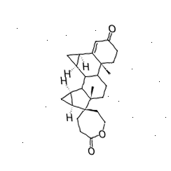 C[C@]12CCC(=O)C=C1[C@@H]1C[C@@H]1C1C2CC[C@@]2(C)C1[C@@H]1C[C@@H]1[C@]21CCOC(=O)CC1